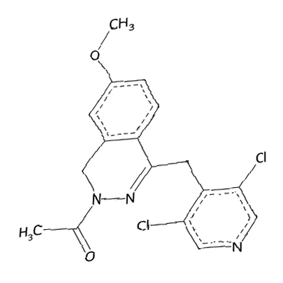 COc1ccc2c(c1)CN(C(C)=O)N=C2Cc1c(Cl)cncc1Cl